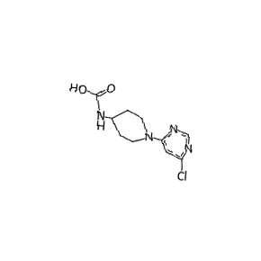 O=C(O)NC1CCN(c2cc(Cl)ncn2)CC1